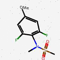 COc1cc(F)c(N(C)S(C)(=O)=O)c(F)c1